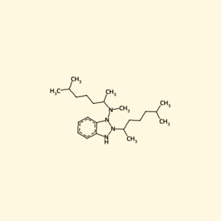 CC(C)CCCC(C)N(C)N1c2ccccc2NN1C(C)CCCC(C)C